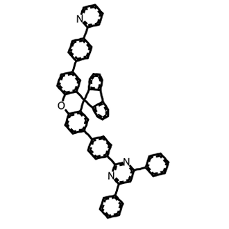 c1ccc(-c2cc(-c3ccccc3)nc(-c3ccc(-c4ccc5c(c4)C4(c6cc(-c7ccc(-c8ccccn8)cc7)ccc6O5)c5ccccc5-c5ccccc54)cc3)n2)cc1